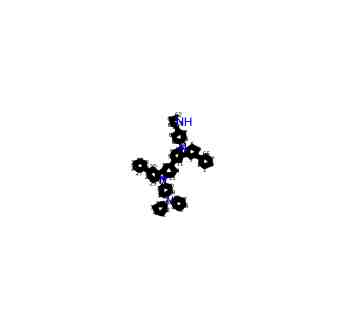 c1ccc(-c2ccc3c(c2)c2cc(-c4ccc5c(c4)c4cc(-c6ccccc6)ccc4n5-c4ccc(N(c5ccccc5)c5ccccc5)cc4)ccc2n3-c2ccc(-c3ccc[nH]3)cc2)cc1